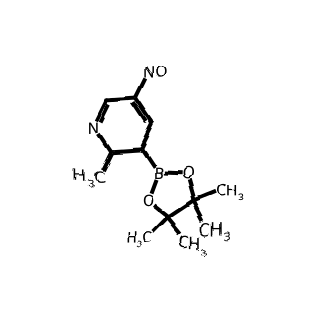 CC1N=CC(N=O)=CC1B1OC(C)(C)C(C)(C)O1